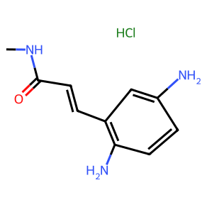 CNC(=O)C=Cc1cc(N)ccc1N.Cl